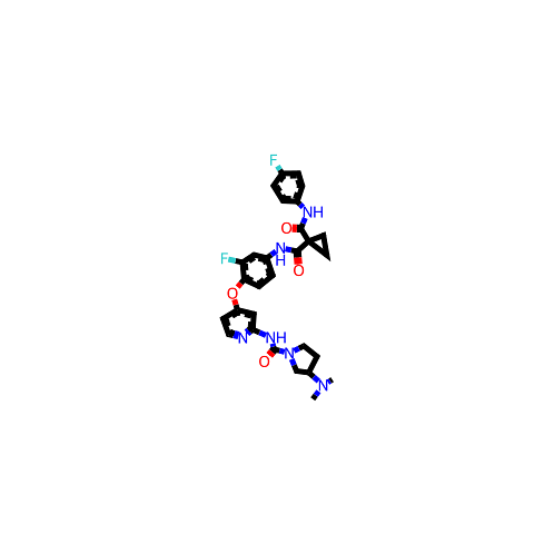 CN(C)C1CCN(C(=O)Nc2cc(Oc3ccc(NC(=O)C4(C(=O)Nc5ccc(F)cc5)CC4)cc3F)ccn2)C1